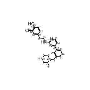 CC1CNCCN1Cc1cncc(-c2ccnc(NCCc3ccc(O)c(Cl)c3)n2)c1